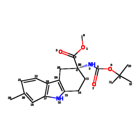 COC(=O)[C@@]1(NC(=O)OC(C)(C)C)CCc2[nH]c3cc(C)ccc3c2C1